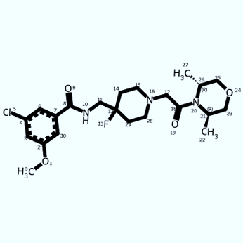 COc1cc(Cl)cc(C(=O)NCC2(F)CCN(CC(=O)N3[C@H](C)COC[C@H]3C)CC2)c1